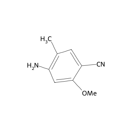 COc1cc(N)c(C)cc1C#N